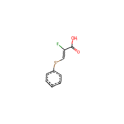 O=C(O)/C(F)=C/Sc1ccccc1